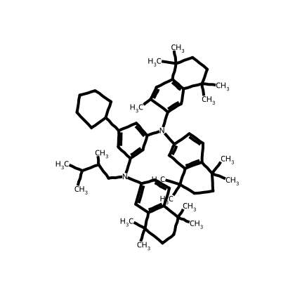 Cc1cc2c(cc1N(c1cc(C3CCCCC3)cc(N(CC(C)C(C)C)c3ccc4c(c3)C(C)(C)CCC4(C)C)c1)c1ccc3c(c1)C(C)(C)CCC3(C)C)C(C)(C)CCC2(C)C